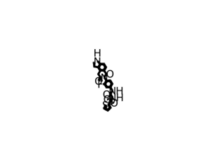 O=C(Nc1ccc(N2C(=O)Cc3c(ccc4c3CCN4)C2=O)c(F)c1)NS(=O)(=O)c1cccs1